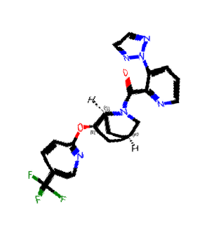 O=C(c1ncccc1-n1nccn1)N1C[C@H]2C[C@@H](Oc3ccc(C(F)(F)F)cn3)[C@@H]1C2